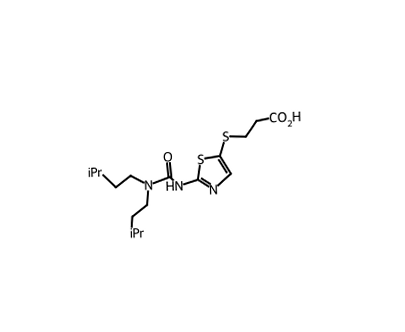 CC(C)CCN(CCC(C)C)C(=O)Nc1ncc(SCCC(=O)O)s1